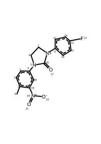 Cc1ccc(N2CCN(c3ccc(F)cc3)C2=O)cc1[N+](=O)[O-]